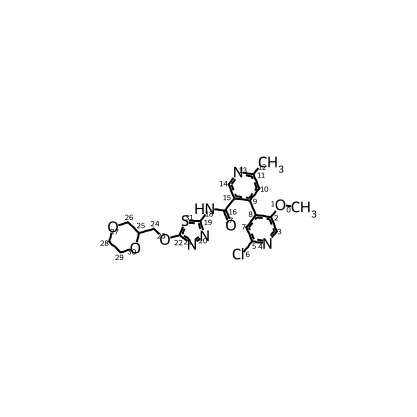 COc1cnc(Cl)cc1-c1cc(C)ncc1C(=O)Nc1nnc(OCC2COCCO2)s1